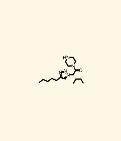 CCCCCc1cn([C@H](C(=O)N2CCNCC2)C(C)CC)nn1